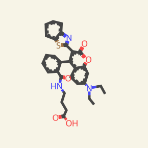 CCN(CC)c1ccc2c(-c3ccccc3C(=O)NCCCC(=O)O)c(-c3nc4ccccc4s3)c(=O)oc2c1